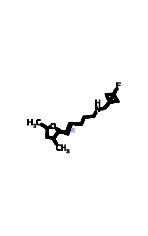 CC1CC(C)C(/C=C/CCCNCC23CC2(F)C3)O1